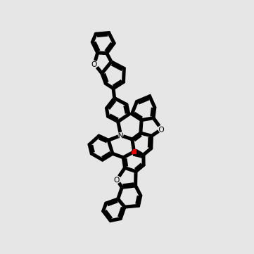 c1ccc(N(c2ccc(-c3ccc4c(c3)oc3ccccc34)cc2)c2cccc3oc4ccccc4c23)c(-c2cccc3c2oc2c4ccccc4ccc32)c1